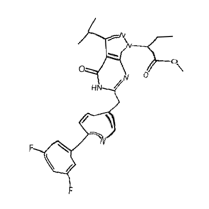 CCC(C(=O)OC)n1nc(C(C)C)c2c(=O)[nH]c(Cc3ccc(-c4cc(F)cc(F)c4)nc3)nc21